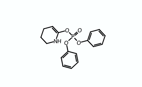 O=P(OC1=CCCCN1)(Oc1ccccc1)Oc1ccccc1